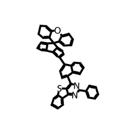 C1=C2Oc3ccccc3C3(C2=CCC1)c1ccccc1-c1cc(-c2ccc(-c4nc(-c5ccccc5)nc5c4sc4ccccc45)c4ccccc24)ccc13